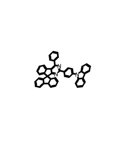 C1=CC2c3ccccc3C3(c4ccccc4-c4c(-c5ccccc5)nc(-c5ccc(-n6c7ccccc7c7ccccc76)cc5)nc43)C2C=C1